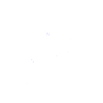 O=[C]c1cc2cccnc2cn1